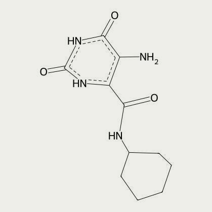 Nc1c(C(=O)NC2CCCCC2)[nH]c(=O)[nH]c1=O